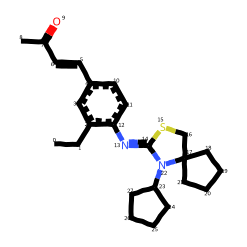 CCc1cc(/C=C/C(C)=O)ccc1N=C1SCC2(CCCC2)N1C1CCCC1